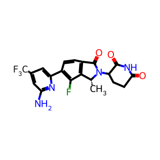 C[C@@H]1c2c(ccc(-c3cc(C(F)(F)F)cc(N)n3)c2F)C(=O)N1C1CCC(=O)NC1=O